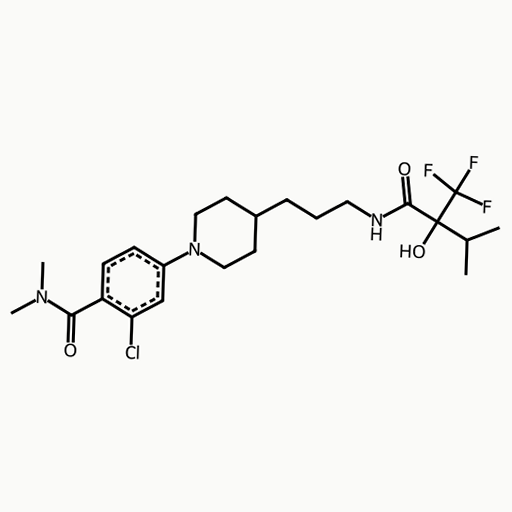 CC(C)C(O)(C(=O)NCCCC1CCN(c2ccc(C(=O)N(C)C)c(Cl)c2)CC1)C(F)(F)F